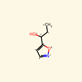 CCC(O)c1ccno1